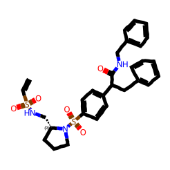 C=CS(=O)(=O)NC[C@H]1CCCN1S(=O)(=O)c1ccc(C(Cc2ccccc2)C(=O)NCc2ccccc2)cc1